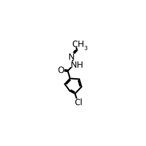 C/C=N/NC(=O)c1ccc(Cl)cc1